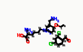 CCOc1ccccc1CN.NCCCC[C@H](N)C(=O)O.O=Cc1ccc(Cl)cc1Cl